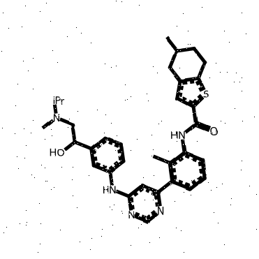 Cc1c(NC(=O)c2cc3c(s2)CCC(C)C3)cccc1-c1cc(Nc2cccc(C(O)CN(C)C(C)C)c2)ncn1